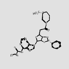 CCNC(=O)Nc1ncnc2c1ncn2C1OC(CC(=O)N2CCC[C@@H](C(=O)O)C2)C2O[C@H](c3ccccc3)OC21